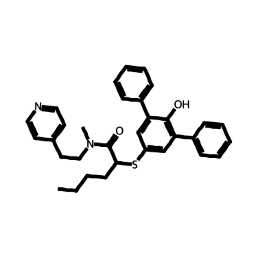 CCCCC(Sc1cc(-c2ccccc2)c(O)c(-c2ccccc2)c1)C(=O)N(C)CCc1ccncc1